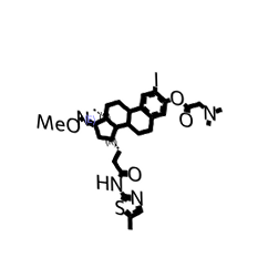 CO/N=C1\C[C@@H](CCC(=O)Nc2ncc(C)s2)C2C3CCc4cc(OC(=O)CN(C)C)c(I)cc4C3CC[C@]12C